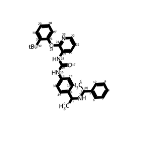 CC(N[C@H](C)c1ccccc1)c1ccc(NC(=O)Nc2cccnc2Oc2ccccc2C(C)(C)C)cc1